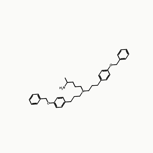 CC(N)CCCN(CCCc1ccc(OCc2ccccc2)cc1)CCCc1ccc(OCc2ccccc2)cc1